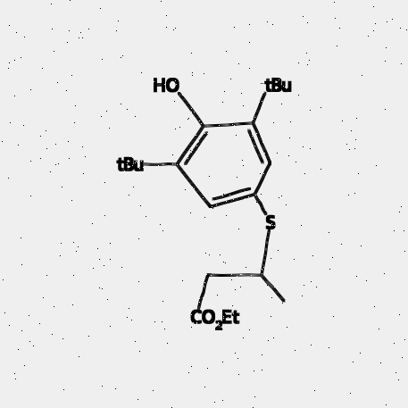 CCOC(=O)CC(C)Sc1cc(C(C)(C)C)c(O)c(C(C)(C)C)c1